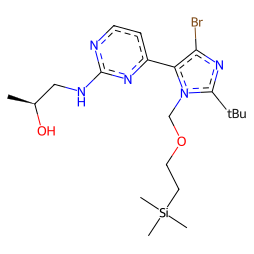 C[C@H](O)CNc1nccc(-c2c(Br)nc(C(C)(C)C)n2COCC[Si](C)(C)C)n1